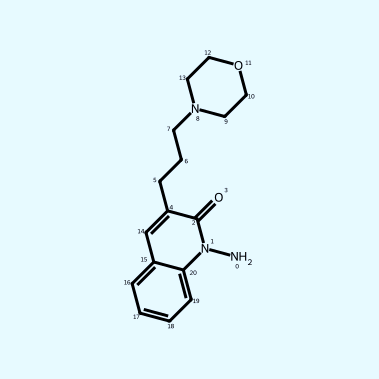 Nn1c(=O)c(CCCN2CCOCC2)cc2ccccc21